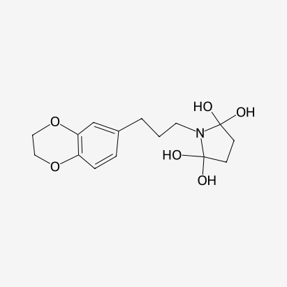 OC1(O)CCC(O)(O)N1CCCc1ccc2c(c1)OCCO2